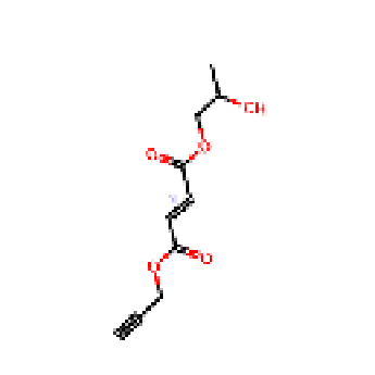 C#CCOC(=O)/C=C/C(=O)OCC(C)O